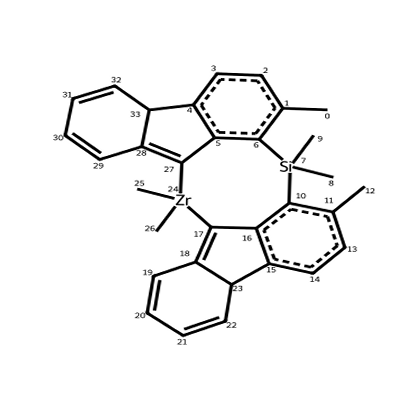 Cc1ccc2c3c1[Si](C)(C)c1c(C)ccc4c1[C](=C1C=CC=CC14)[Zr]([CH3])([CH3])[C]3=C1C=CC=CC12